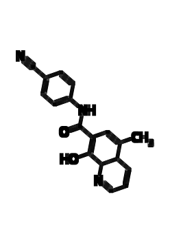 CC1=CC(C(=O)Nc2ccc(C#N)cc2)=C(O)C2N=CC=CC12